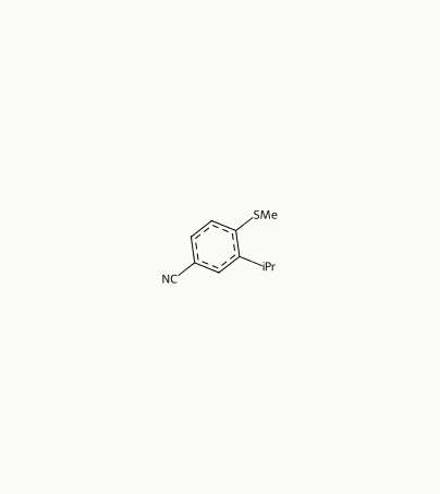 [CH2]C(C)c1cc(C#N)ccc1SC